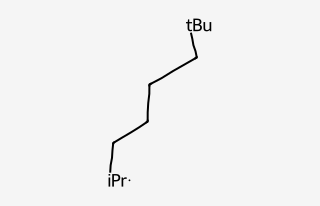 C[C](C)CCCCC(C)(C)C